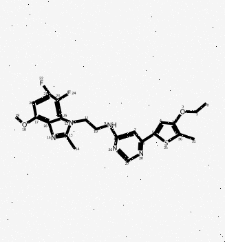 CCOc1cc(-c2cc(NCCn3c(C)nc4c(OC)cc(F)c(F)c43)ncn2)sc1C